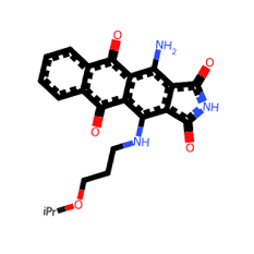 CC(C)OCCCNc1c2c(=O)[nH]c(=O)c2c(N)c2c(=O)c3ccccc3c(=O)c12